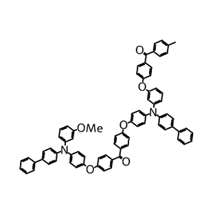 COc1cccc(N(c2ccc(Oc3ccc(C(=O)c4ccc(Oc5ccc(N(c6ccc(-c7ccccc7)cc6)c6cccc(Oc7ccc(C(=O)c8ccc(C)cc8)cc7)c6)cc5)cc4)cc3)cc2)c2ccc(-c3ccccc3)cc2)c1